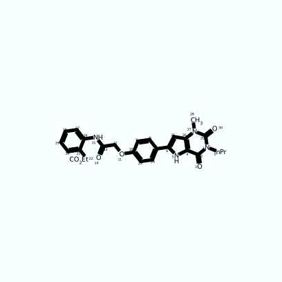 CCCn1c(=O)c2[nH]c(-c3ccc(OCC(=O)Nc4ccccc4C(=O)OCC)cc3)cc2n(C)c1=O